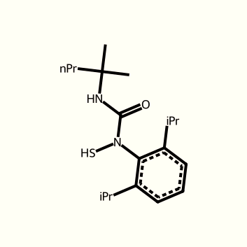 CCCC(C)(C)NC(=O)N(S)c1c(C(C)C)cccc1C(C)C